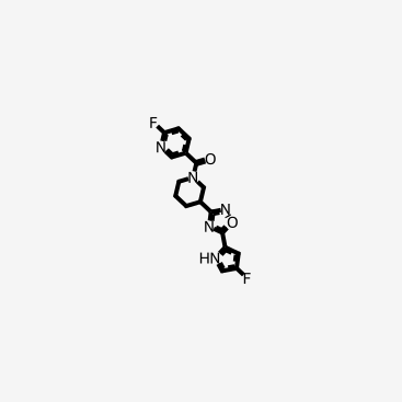 O=C(c1ccc(F)nc1)N1CCCC(c2noc(-c3cc(F)c[nH]3)n2)C1